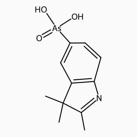 CC1=Nc2ccc([As](=O)(O)O)cc2C1(C)C